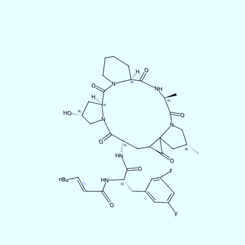 CCCC/C=C/C(=O)N[C@@H](Cc1cc(F)cc(F)c1)C(=O)N[C@H]1CC2C(=O)C23C[C@@H](C)CN3C(=O)[C@H](C)NC(=O)[C@@H]2CCCCN2C(=O)[C@@H]2C[C@@H](O)CN2C1=O